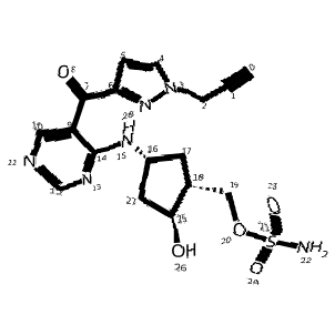 C#CCn1ccc(C(=O)c2cncnc2N[C@@H]2C[C@H](COS(N)(=O)=O)[C@@H](O)C2)n1